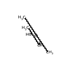 CCCCCCC(O)CCCCCCCCCCC(=O)O.CCCCCCCCCCCCCCCCCCOCCCCCCCCCCCCCCCCCC